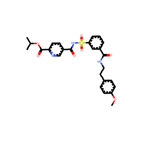 COc1ccc(CCNC(=O)c2cccc(S(=O)(=O)NC(=O)c3ccc(C(=O)OC(C)C)nc3)c2)cc1